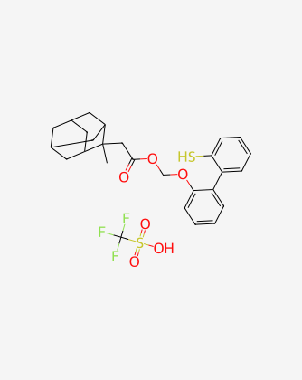 CC1(CC(=O)OCOc2ccccc2-c2ccccc2S)C2CC3CC(C2)CC1C3.O=S(=O)(O)C(F)(F)F